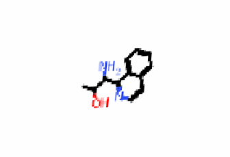 CC(O)C(N)c1nccc2ccccc12